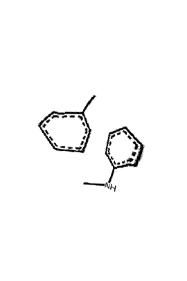 CNc1ccccc1.Cc1ccccc1